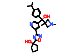 CC(C)c1ccc([C@](O)(c2cncc(-c3noc(C4(O)CCCC4)n3)c2)C2(C)CN(C)C2)cc1